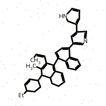 C/C=C\C1=C(C)C(C2C=CC(CC)CC2)C2CCC=CC2=C1c1ccc(-c2cncc(C3=CC=CNC3)c2)c2ccccc12